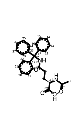 CC(=O)N[C@H](CCC(=O)NC(c1ccccc1)(c1ccccc1)c1ccccc1)C(=O)O